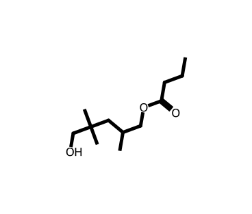 CCCC(=O)OCC(C)CC(C)(C)CO